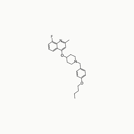 CCCCOc1ccc(CN2CCC(Oc3cc(C)nc4c(F)cccc34)CC2)cc1